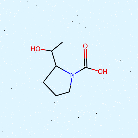 CC(O)C1CCCN1C(=O)O